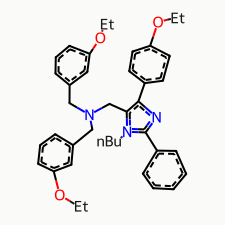 CCCCn1c(-c2ccccc2)nc(-c2ccc(OCC)cc2)c1CN(Cc1cccc(OCC)c1)Cc1cccc(OCC)c1